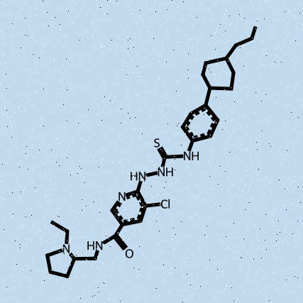 CCCC1CCC(c2ccc(NC(=S)NNc3ncc(C(=O)NCC4CCCN4CC)cc3Cl)cc2)CC1